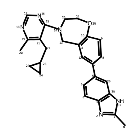 Cc1nc2ccc(-c3ccc4c(c3)CN(c3ncnc(C)c3CC3CC3)CCO4)cc2[nH]1